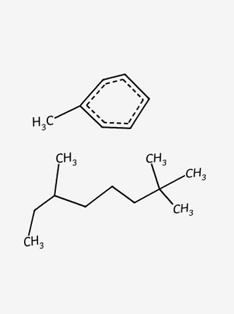 CCC(C)CCCC(C)(C)C.Cc1ccccc1